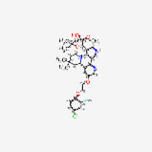 Cc1ncc(-c2ccc(OCCOc3ccc(Cl)cc3F)cn2)c(N2CCC(C)(C)CC2)c1[C@H](OC(C)(C)C)C(=O)O